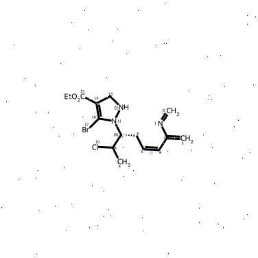 C=NC(=C)/C=C\C[C@H](C(C)Cl)N1NCC(C(=O)OCC)=C1Br